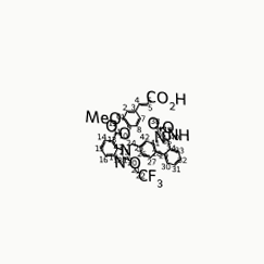 COc1cc(C=CC(=O)O)ccc1OC(=O)c1cccc2nc(OCC(F)(F)F)n(Cc3ccc(-c4ccccc4-c4nc(=O)o[nH]4)cc3)c12